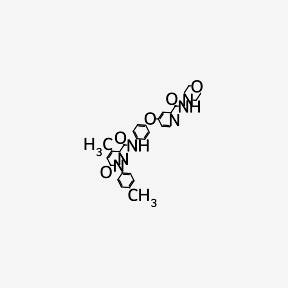 Cc1ccc(-n2nc(C(=O)Nc3ccc(Oc4ccnc(C(=O)NN5CCOCC5)c4)cc3)c(C)cc2=O)cc1